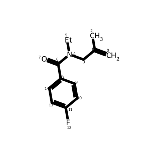 C=C(C)CN(CC)C(=O)c1ccc(F)cc1